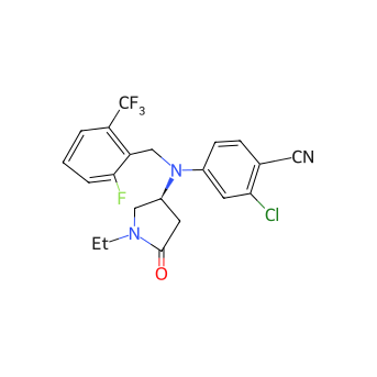 CCN1C[C@@H](N(Cc2c(F)cccc2C(F)(F)F)c2ccc(C#N)c(Cl)c2)CC1=O